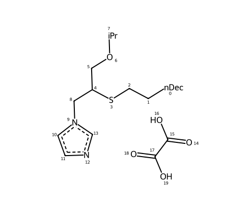 CCCCCCCCCCCCSC(COC(C)C)Cn1ccnc1.O=C(O)C(=O)O